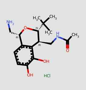 CC(=O)NC[C@H]1c2c(ccc(O)c2O)[C@H](CN)O[C@@H]1C(C)(C)C.Cl